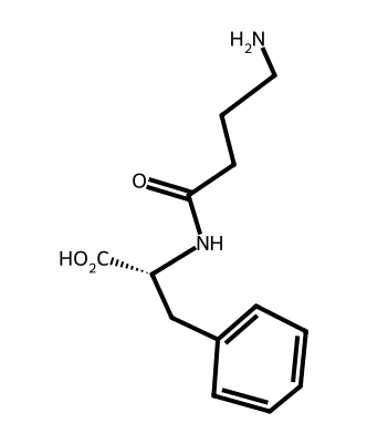 NCCCC(=O)N[C@H](Cc1ccccc1)C(=O)O